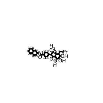 Cc1oc2c(CC(C)C)c(O)c(O)c(O)c2c(=O)c1-c1ccc(C(=O)Nc2ccc3ccccc3c2)cc1